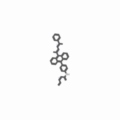 C=C/C=C\C(=C)Pc1ccc(-c2c3ccccc3c(/C(C)=C/C=C(\C)c3ccccc3)c3ccccc23)cc1